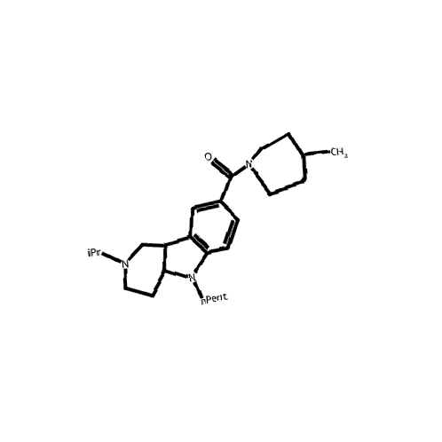 CCCCCN1c2ccc(C(=O)N3CCC(C)CC3)cc2C2CN(C(C)C)CCC21